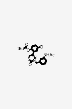 CC(=O)Nc1cccc(CN2N=C(c3cc(Cl)ccc3OC(=O)C(C)(C)C)CSC2=O)c1